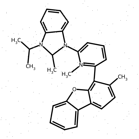 Cc1ccc2c(oc3ccccc32)c1-c1cccc(N2c3ccccc3N(C(C)C)C2C)[n+]1C